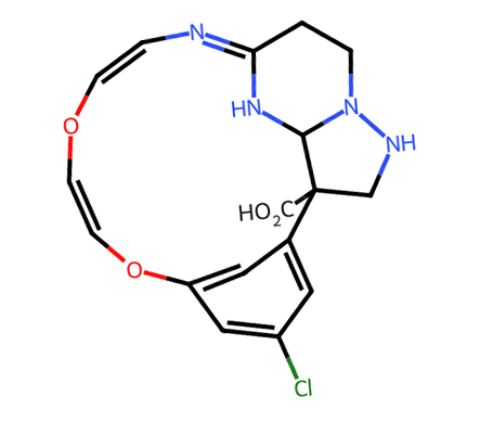 O=C(O)C12CNN3CCC(=NC=COC=COc4cc(Cl)cc1c4)NC32